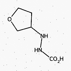 O=C(O)NNC1CCOC1